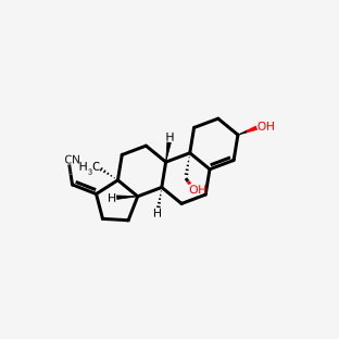 C[C@]12CC[C@H]3[C@@H](CCC4=C[C@H](O)CC[C@@]43CO)[C@@H]1CC/C2=C/C#N